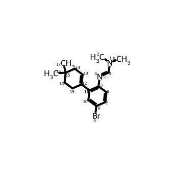 CN(C)/C=N/c1ccc(Br)cc1C1=CCC(C)(C)CC1